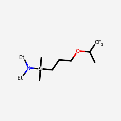 CCN(CC)[Si](C)(C)CCCOC(C)C(F)(F)F